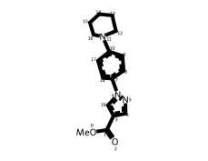 COC(=O)c1cnn(-c2ccc(N3CCCCC3)cc2)c1